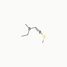 CCB(C)/C=B/SC